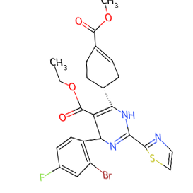 CCOC(=O)C1=C([C@H]2CC=C(C(=O)OC)CC2)NC(c2nccs2)=NC1c1ccc(F)cc1Br